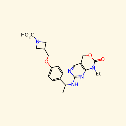 CCN1C(=O)OCc2cnc(NC(C)c3ccc(OCC4CN(C(=O)O)C4)cc3)nc21